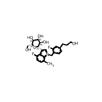 Cc1ccc(F)c2c([C@@H]3O[C@H](CO)[C@@H](O)[C@H](O)[C@H]3O)cn(Cc3ccc(CCCO)cc3F)c12